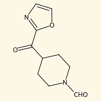 O=CN1CCC(C(=O)c2ncco2)CC1